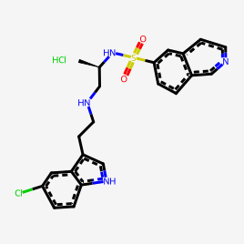 C[C@H](CNCCc1c[nH]c2ccc(Cl)cc12)NS(=O)(=O)c1ccc2cnccc2c1.Cl